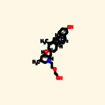 CC1=C2C[C@H]3[C@@H](CC=C4C[C@@H](O)CC[C@@]43C)[C@@H]2CC[C@]2(C1)C[C@H]1[C@@H](C[C@H](C)CN1CCOCCO)O2